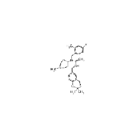 C=C(NCc1ccc2c(c1)C=CC(C)(C)O2)N(Cc1ccc(F)cc1C)C1CCN(C)CC1